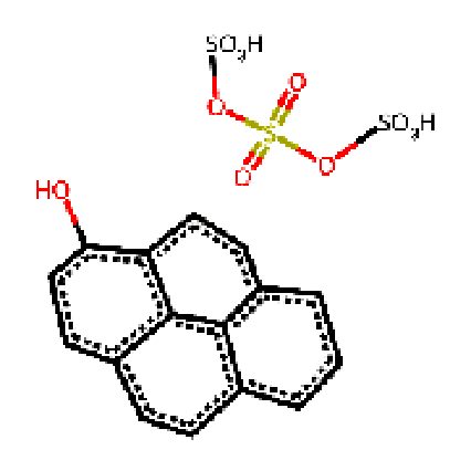 O=S(=O)(O)OS(=O)(=O)OS(=O)(=O)O.Oc1ccc2ccc3cccc4ccc1c2c34